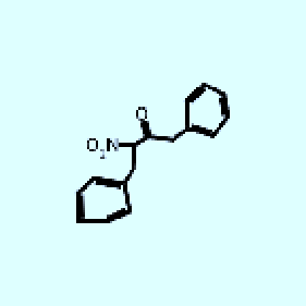 O=C(Cc1ccccc1)C(Cc1ccccc1)[N+](=O)[O-]